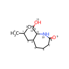 CC(C)CC1CCCC(=O)NC1CO